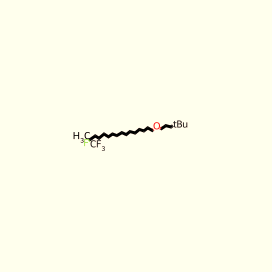 CC(C)(C)CCCOCCCCCCCCCCCCCCC(C)(F)C(F)(F)F